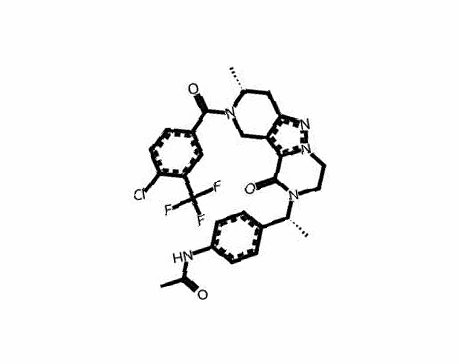 CC(=O)Nc1ccc([C@@H](C)N2CCn3nc4c(c3C2=O)CN(C(=O)c2ccc(Cl)c(C(F)(F)F)c2)[C@H](C)C4)cc1